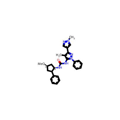 CO[C@@H]1CC(c2ccccc2)[C@H](NC(=O)Nc2c(C)c(-c3cnn(C)c3)nn2-c2ccccc2)C1